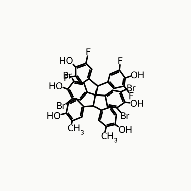 Cc1cc(C(c2ccc(O)c(C)c2)C(c2cc(Br)c(O)c(Br)c2)(c2cc(Br)c(O)c(Br)c2)C(c2cc(F)c(O)c(F)c2)c2cc(F)c(O)c(F)c2)ccc1O